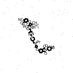 CC(C)N(CC1CCN(c2ncc(C(=O)NC3C(C)(C)C(Oc4ccc(C#N)c(Cl)c4)C3(C)C)cn2)CC1)C1CC(Oc2ccc3c(c2)C(=O)N([C@@H]2CCC(=O)NC2=O)C3=O)C1